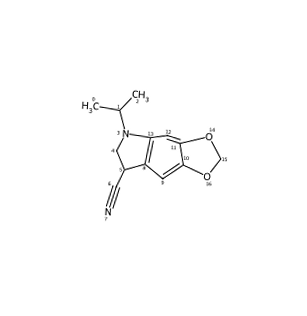 CC(C)N1CC(C#N)c2cc3c(cc21)OCO3